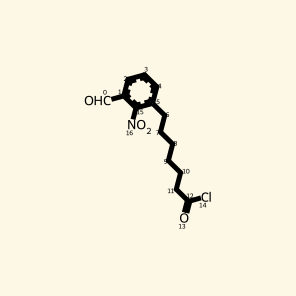 O=Cc1cccc(CCCCCCC(=O)Cl)c1[N+](=O)[O-]